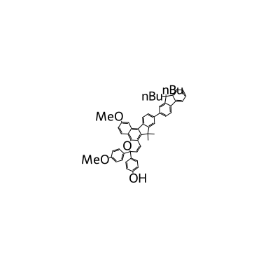 CCCCC1(CCCC)c2ccccc2-c2ccc(-c3ccc4c(c3)C(C)(C)c3c5c(c6ccc(OC)cc6c3-4)OC(c3ccc(O)cc3)(c3ccc(OC)cc3)C=C5)cc21